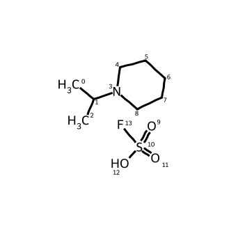 CC(C)N1CCCCC1.O=S(=O)(O)F